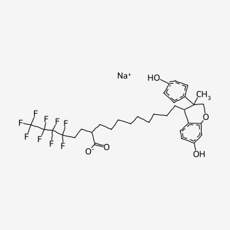 CC1(c2ccc(O)cc2)COc2cc(O)ccc2C1CCCCCCCCCC(CCC(F)(F)C(F)(F)C(F)(F)C(F)(F)F)C(=O)[O-].[Na+]